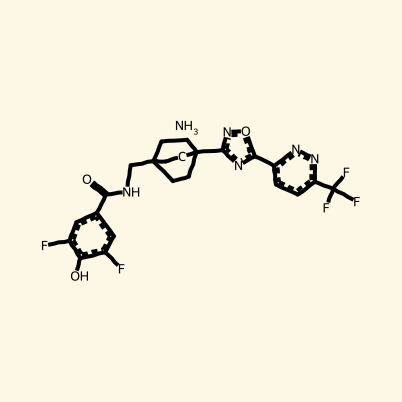 N.O=C(NCC12CCC(c3noc(-c4ccc(C(F)(F)F)nn4)n3)(CC1)CC2)c1cc(F)c(O)c(F)c1